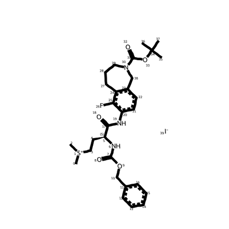 C[S+](C)CC[C@H](NC(=O)OCc1ccccc1)C(=O)Nc1ccc2c(c1F)CCCN(C(=O)OC(C)(C)C)C2.[I-]